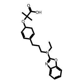 CCN(CCCC1=CCC(OC(C)(C)C(=O)O)C=C1)c1nc2ccccc2o1